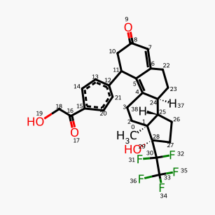 C[C@]12CCC3=C4C(=CC(=O)CC4c4ccc(C(=O)CO)cc4)CC[C@H]3[C@@H]1CC[C@@]2(O)C(F)(F)C(F)(F)F